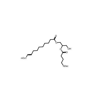 CCCCCCCCC=CCCCCCCCC(=O)OCC(CO)OC(=O)CCCCCCCCCCCCC